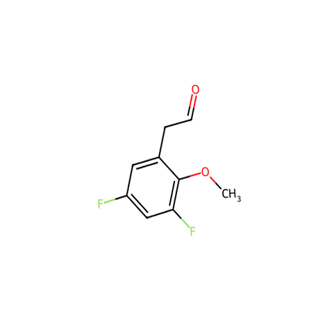 COc1c(F)cc(F)cc1CC=O